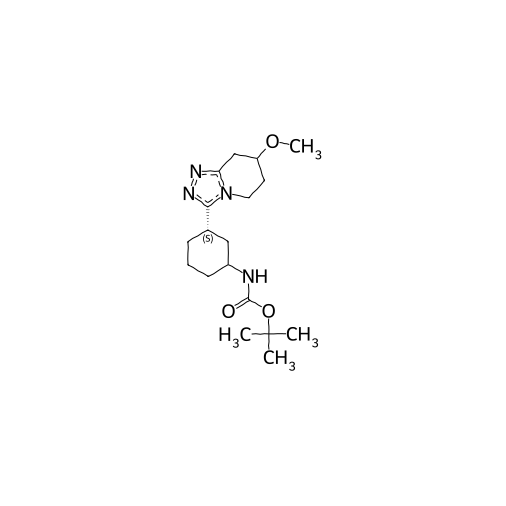 COC1CCn2c(nnc2[C@H]2CCCC(NC(=O)OC(C)(C)C)C2)C1